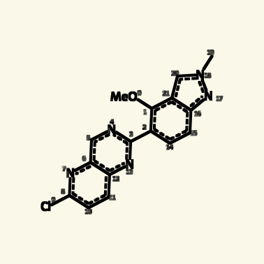 COc1c(-c2ncc3nc(Cl)ccc3n2)ccc2nn(C)cc12